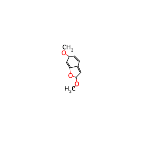 COC1C=CC2=CC(OC)OC2=C1